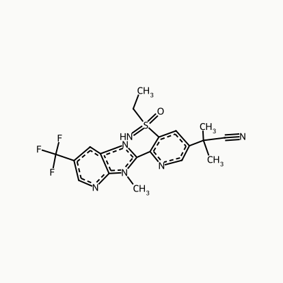 CCS(=N)(=O)c1cc(C(C)(C)C#N)cnc1-c1nc2cc(C(F)(F)F)cnc2n1C